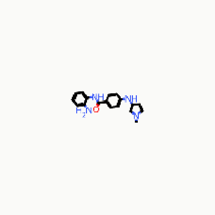 CN1CCC(Nc2ccc(C(=O)Nc3ccccc3N)cc2)C1